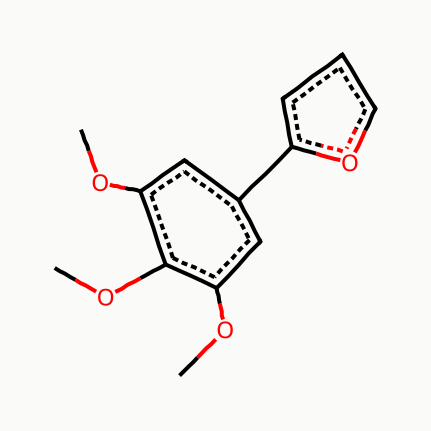 COc1cc(-c2ccco2)cc(OC)c1OC